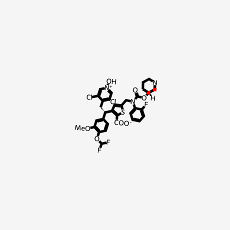 COc1cc([C@H](Cc2c(Cl)c[n+](O)cc2Cl)c2cc(CN(C(=O)O[C@H]3CN4CCC3CC4)c3ccccc3F)sc2C(=O)[O-])ccc1OC(F)F